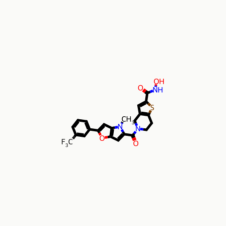 Cn1c(C(=O)N2CCc3sc(C(=O)NO)cc3C2)cc2oc(-c3cccc(C(F)(F)F)c3)cc21